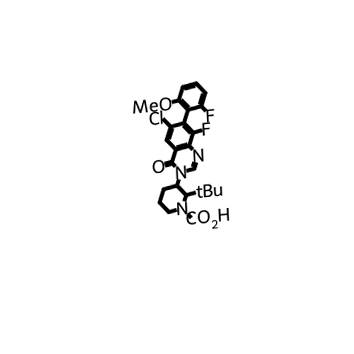 COc1cccc(F)c1-c1c(Cl)cc2c(=O)n(C3CCCN(C(=O)O)C3C(C)(C)C)cnc2c1F